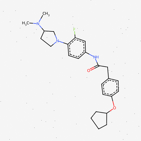 CN(C)C1CCN(c2ccc(NC(=O)Cc3ccc(OC4CCCC4)cc3)cc2F)C1